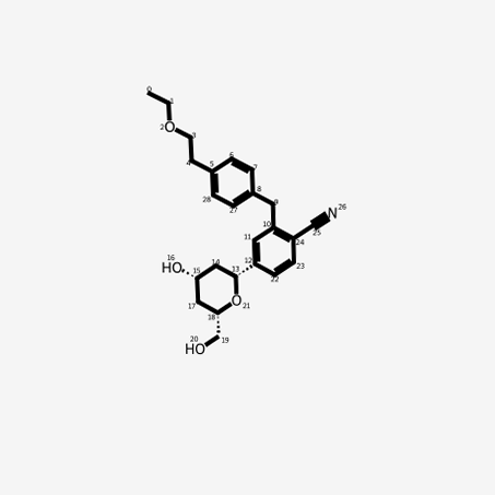 CCOCCc1ccc(Cc2cc([C@H]3C[C@@H](O)C[C@@H](CO)O3)ccc2C#N)cc1